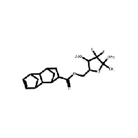 CC(=O)OC1C(COC(=O)C2CC3CC2C2C4C=CC(C4)C32)OC(OC(C)=O)(C(F)(F)F)C1(F)F